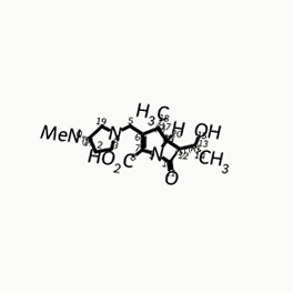 CN[C@H]1CCN(CC2=C(C(=O)O)N3C(=O)[C@H]([C@@H](C)O)[C@H]3[C@H]2C)C1